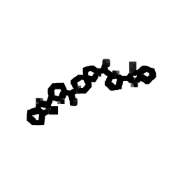 O=C(c1cccc(-c2nc3ccccc3[nH]2)n1)N1CCC2(CC1)CCN(C(=O)c1cccc(-c3nc4ccccc4[nH]3)n1)C2